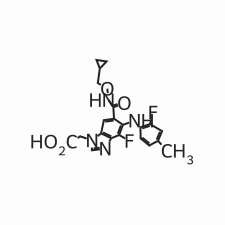 Cc1ccc(Nc2c(C(=O)NOCC3CC3)cc3c(ncn3CC(=O)O)c2F)c(F)c1